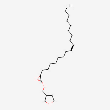 CCCCCCCC/C=C\CCCCCCCC1OC1OCC1CCOC1